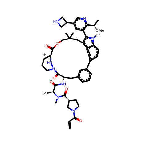 C=CC(=O)N1CC[C@H](C(=O)N(C)[C@H](C(=O)N[C@H]2Cc3cccc(c3)-c3ccc4c(c3)c(c(-c3cc(C5CNC5)cnc3[C@H](C)OC)n4CC)CC(C)(C)COC(=O)[C@@H]3CCCN(N3)C2=O)C(C)C)C1